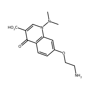 CN(C)n1cc(C(=O)O)c(=O)c2ccc(OCCN)cc21